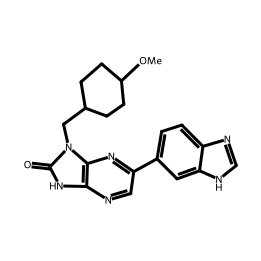 COC1CCC(Cn2c(=O)[nH]c3ncc(-c4ccc5nc[nH]c5c4)nc32)CC1